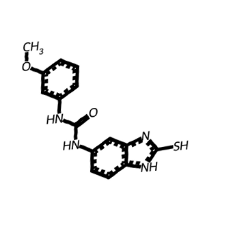 COc1cccc(NC(=O)Nc2ccc3[nH]c(S)nc3c2)c1